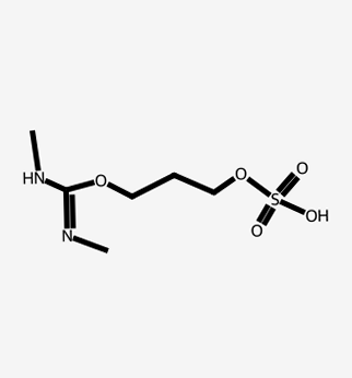 C/N=C(/NC)OCCCOS(=O)(=O)O